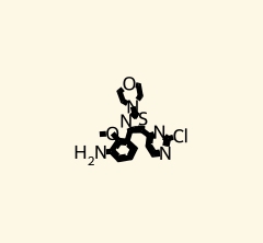 COc1c(N)cccc1-c1nc(N2CCOCC2)sc1-c1ccnc(Cl)n1